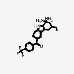 CCC1Cc2c([nH]c3ccc(C(=O)c4ccc(C(F)(F)F)cc4)cc23)C(N)(N)C1